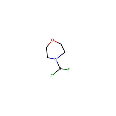 FB(F)N1CCOCC1